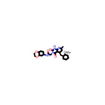 COc1ccccc1Cc1cc(C)nc2[nH]c(=O)n(CC(=O)Nc3ccc4c(c3)OCCO4)c(=O)c12